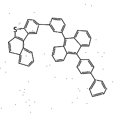 c1ccc(-c2ccc(-c3c4ccccc4c(-c4cccc(-c5ccc6sc7ccc8ccccc8c7c6c5)c4)c4ccccc34)cc2)cc1